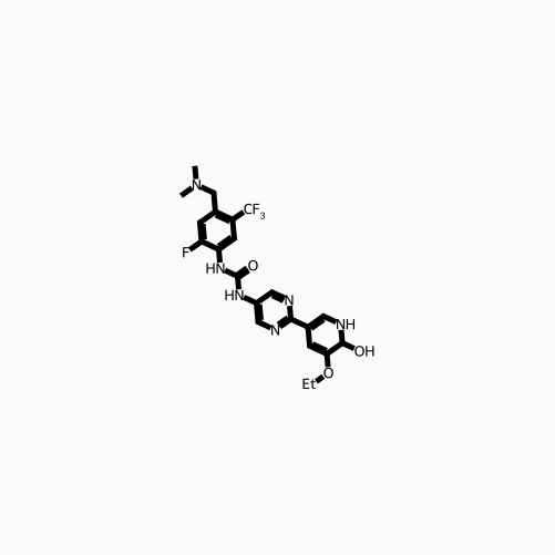 CCOC1=CC(c2ncc(NC(=O)Nc3cc(C(F)(F)F)c(CN(C)C)cc3F)cn2)=CNC1O